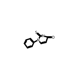 O=c1ccn(-c2ccccc2)c(=S)[nH]1